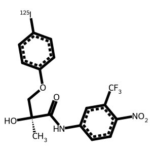 C[C@](O)(COc1ccc([125I])cc1)C(=O)Nc1ccc([N+](=O)[O-])c(C(F)(F)F)c1